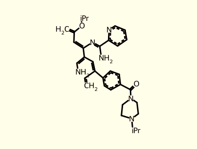 C=C\C(=C/C(=C\N)C(=C/C(=C)OC(C)C)/N=C(\N)c1ccccn1)c1ccc(C(=O)N2CCN(C(C)C)CC2)cc1